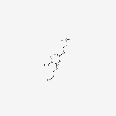 C[Si](C)(C)CCOC(=O)N[C@@H](CCCBr)C(=O)O